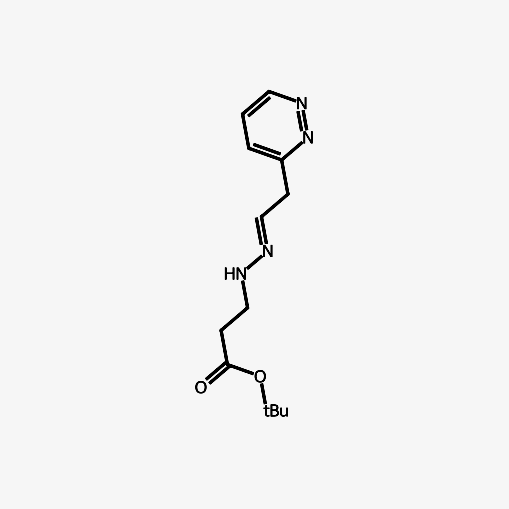 CC(C)(C)OC(=O)CCNN=CCc1cccnn1